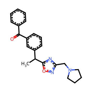 CC(c1cccc(C(=O)c2ccccc2)c1)c1nc(CN2CCCC2)no1